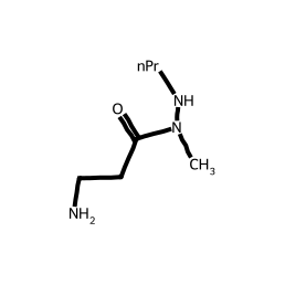 CCCNN(C)C(=O)CCN